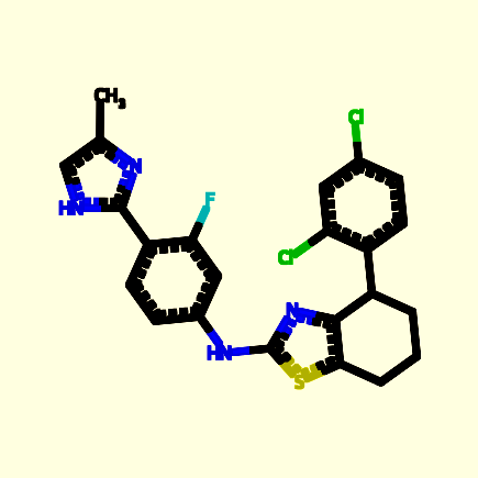 Cc1c[nH]c(-c2ccc(Nc3nc4c(s3)CCCC4c3ccc(Cl)cc3Cl)cc2F)n1